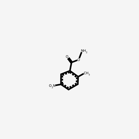 Cc1ccc([N+](=O)[O-])cc1C(=O)ON